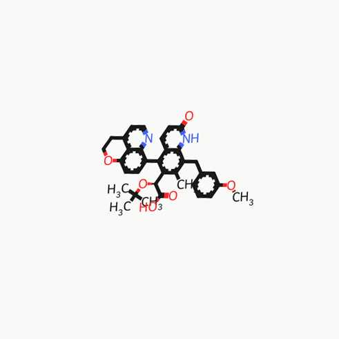 COc1cccc(Cc2c(C)c([C@H](OC(C)(C)C)C(=O)O)c(-c3ccc4c5c(ccnc35)CCO4)c3ccc(=O)[nH]c23)c1